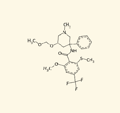 COCOC1CN(C)CC(NC(=O)c2c(OC)cc(C(F)(F)F)cc2SC)(c2ccccc2)C1